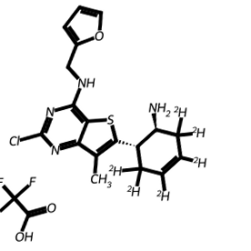 O=C(O)C(F)(F)F.[2H]C1=C([2H])C([2H])([2H])[C@H](c2sc3c(NCc4ccco4)nc(Cl)nc3c2C)[C@@H](N)C1([2H])[2H]